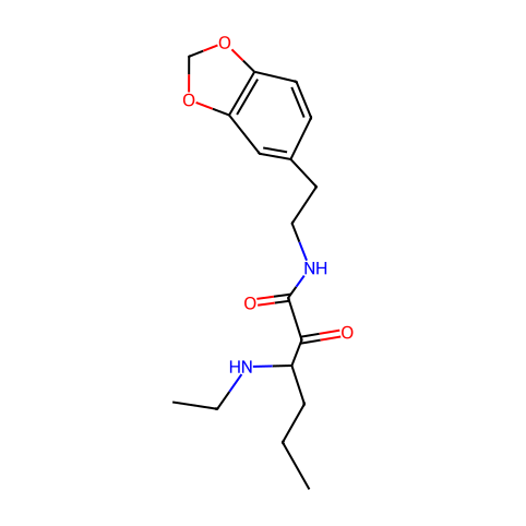 CCCC(NCC)C(=O)C(=O)NCCc1ccc2c(c1)OCO2